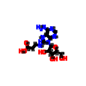 Nc1ncnc2c1nc(NCCC(=O)O)n2[C@@H]1O[C@H](CO)C(O)C1O